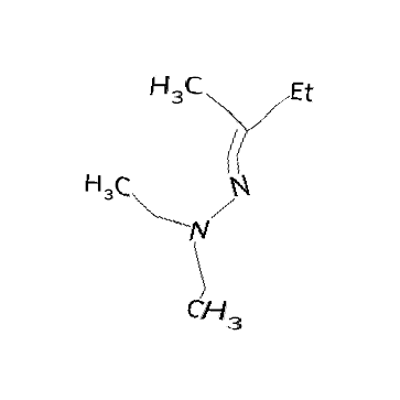 CCC(C)=NN(C)C